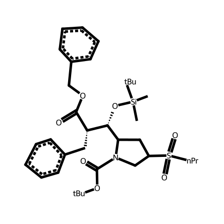 CCCS(=O)(=O)C1CC([C@@H](O[Si](C)(C)C(C)(C)C)[C@H](Cc2ccccc2)C(=O)OCc2ccccc2)N(C(=O)OC(C)(C)C)C1